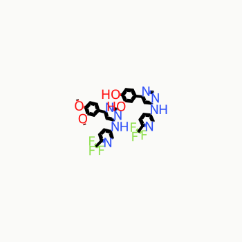 COc1ccc(-c2cc(Nc3ccc(C(F)(F)F)nc3)ncn2)cc1OC.Oc1ccc(-c2cc(Nc3ccc(C(F)(F)F)nc3)ncn2)cc1O